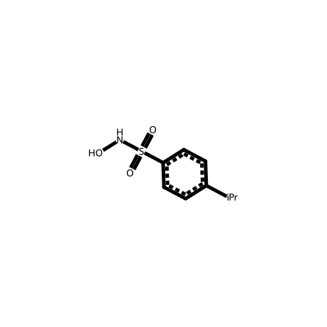 CC(C)c1ccc(S(=O)(=O)NO)cc1